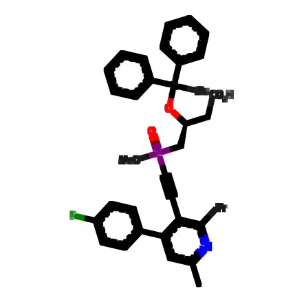 COP(=O)(C#Cc1c(-c2ccc(F)cc2)cc(C)nc1C(C)C)C[C@H](CC(=O)O)O[Si](c1ccccc1)(c1ccccc1)C(C)(C)C